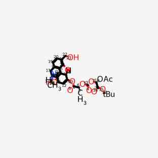 CC(=O)O[C@@H](OC(=O)O[C@@H](C)C(=O)OC1=CC[C@@]2(O)[C@H]3Cc4ccc(CO)c5c4[C@@]2(CCN3C)[C@H]1O5)C(=O)OC(C)(C)C